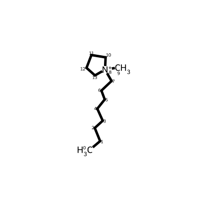 CCCCCCCC[N+]1(C)CCCC1